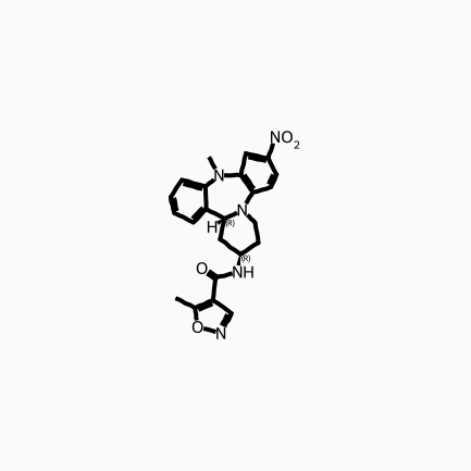 Cc1oncc1C(=O)N[C@@H]1CCN2c3ccc([N+](=O)[O-])cc3N(C)c3ccccc3[C@H]2C1